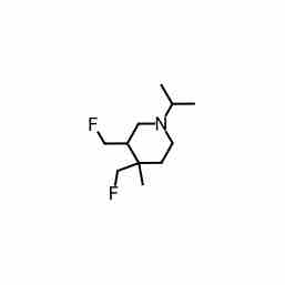 CC(C)N1CCC(C)(CF)C(CF)C1